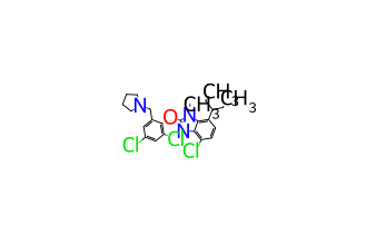 CCC(CC)c1ccc(Cl)c2nc(Oc3c(Cl)cc(Cl)cc3CN3CCCC3)n(C)c12